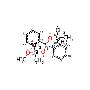 CO[Si](C)(C)O[Si](O[Si](C)(C)C)(c1ccccc1)c1ccccc1